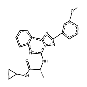 COc1cccc(-c2nc3c4ccccc4nc(N[C@H](C)C(=O)NC4CC4)n3n2)c1